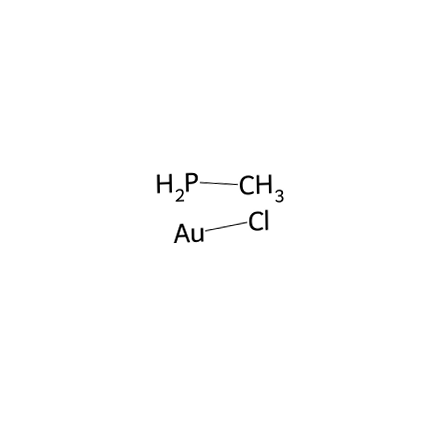 CP.[Cl][Au]